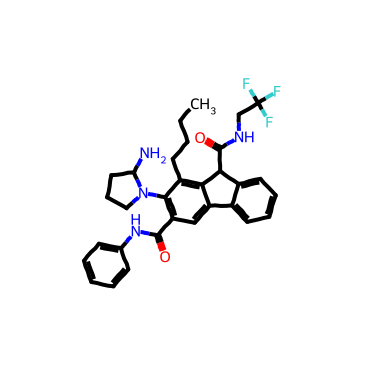 CCCCc1c2c(cc(C(=O)Nc3ccccc3)c1N1CCCC1N)-c1ccccc1C2C(=O)NCC(F)(F)F